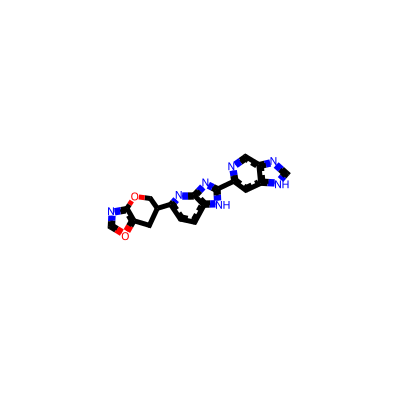 c1nc2cnc(-c3nc4nc(C5COc6ncoc6C5)ccc4[nH]3)cc2[nH]1